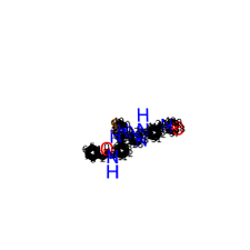 O=C(Cc1ccccc1)Nc1cccc(-c2nc3sccn3c2-c2ccnc(Nc3cccc(CN4CCOCC4)c3)n2)c1